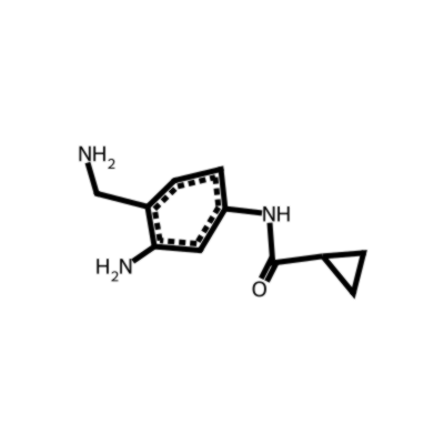 NCc1ccc(NC(=O)C2CC2)cc1N